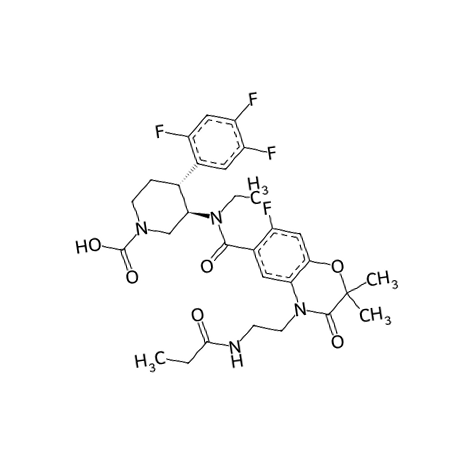 CCC(=O)NCCN1C(=O)C(C)(C)Oc2cc(F)c(C(=O)N(CC)[C@H]3CN(C(=O)O)CC[C@@H]3c3cc(F)c(F)cc3F)cc21